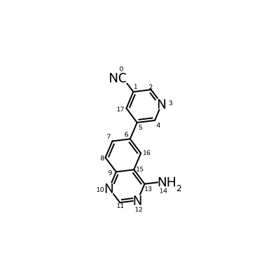 N#Cc1cncc(-c2ccc3ncnc(N)c3c2)c1